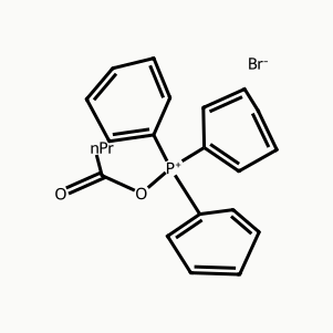 CCCC(=O)O[P+](c1ccccc1)(c1ccccc1)c1ccccc1.[Br-]